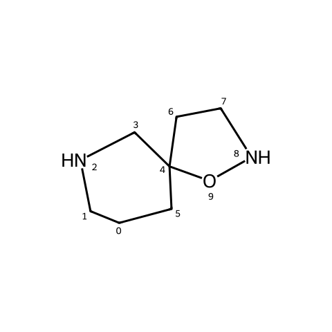 C1CNCC2(C1)CCNO2